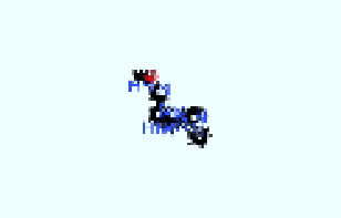 CC(C)(C)C(=O)Nc1cncc(-c2ccc3[nH]nc(-c4nc5c(N6CCCCC6)nccc5[nH]4)c3n2)c1